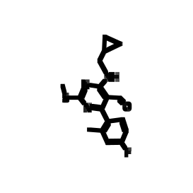 CSc1nc(NCC2CC2)c(C=O)c(-c2ccc(F)cc2C)n1